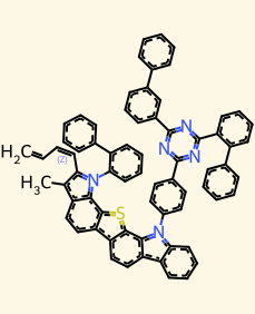 C=C/C=C\c1c(C)c2ccc3c4ccc5c6ccccc6n(-c6ccc(-c7nc(-c8cccc(-c9ccccc9)c8)nc(-c8ccccc8-c8ccccc8)n7)cc6)c5c4sc3c2n1-c1ccccc1-c1ccccc1